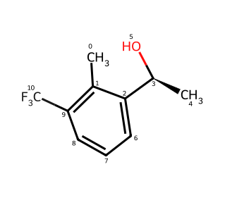 Cc1c([C@H](C)O)cccc1C(F)(F)F